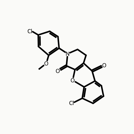 COc1cc(Cl)ccc1N1CCc2c(oc3c(Cl)cccc3c2=O)C1=O